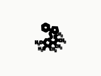 C=NC(=C)/C(C)=C1/C(=C)N(C)C(C)CN1CCC1(c2ccccc2)CCCC1